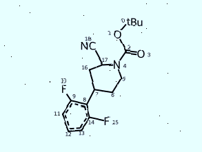 CC(C)(C)OC(=O)N1CCC(c2c(F)cccc2F)CC1C#N